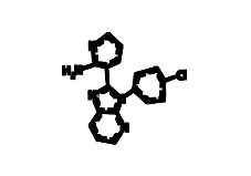 Nc1ncccc1-c1nc2cccnc2n1-c1ccc(Cl)cc1